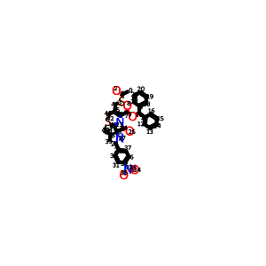 CC(=O)SCC1=C(C(=O)OC(c2ccccc2)c2ccccc2)N2C(=O)[C@@](N=Cc3ccc([N+](=O)[O-])cc3)(C(C)C)[C@H]2SC1